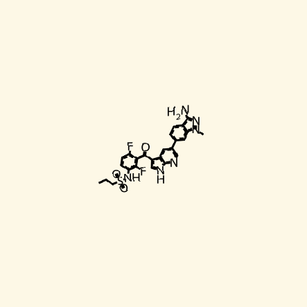 CCCS(=O)(=O)Nc1ccc(F)c(C(=O)c2c[nH]c3ncc(-c4ccc5c(N)nn(C)c5c4)cc23)c1F